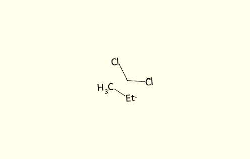 C[CH]C.ClCCl